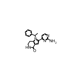 CC(c1ccccc1)n1c(-c2ccnc(N)n2)cc2c1CCNC2=O